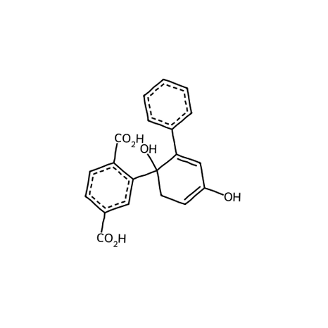 O=C(O)c1ccc(C(=O)O)c(C2(O)CC=C(O)C=C2c2ccccc2)c1